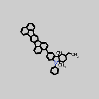 CCC1CCC2(C)N(c3ccccc3)c3ccc(-c4ccc5c6cc7c(cc6c6cccc4c65)c4cccc5cccc7c54)cc3C2(C)C1